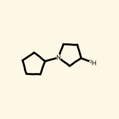 [2H]C1CCN(C2CCCC2)C1